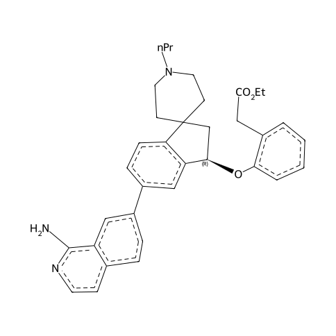 CCCN1CCC2(CC1)C[C@@H](Oc1ccccc1CC(=O)OCC)c1cc(-c3ccc4ccnc(N)c4c3)ccc12